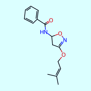 CC(C)=CCOC1=NOC(NC(=O)c2ccccc2)C1